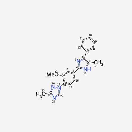 COc1cc(-c2nc(-c3ccccc3)c(C)[nH]2)ccc1-n1cnc(C)n1